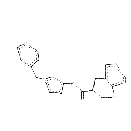 O=C(Nc1ccn(Cc2ccncc2)n1)C1COc2ccccc2C1